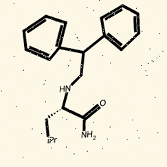 CC(C)C[C@H](NCC(c1ccccc1)c1ccccc1)C(N)=O